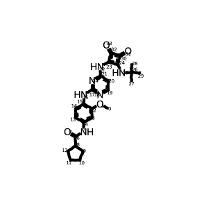 COc1cc(NC(=O)C2CCCC2)ccc1Nc1nccc(Nc2c(NC(C)(C)C)c(=O)c2=O)n1